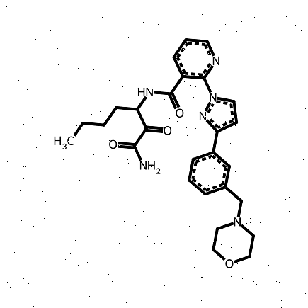 CCCCC(NC(=O)c1cccnc1-n1ccc(-c2cccc(CN3CCOCC3)c2)n1)C(=O)C(N)=O